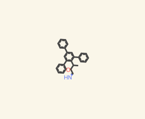 CC(C(=O)C=N)c1c(-c2ccccc2)cc(-c2ccccc2)cc1-c1ccccc1